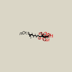 CCCCCCCCC(C)CCCCCC(=O)C1=C(O)C(CO)OC1=O